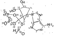 Nc1ncnc2c1ncn2C12CC(O)C(O)C1(C(O[PH2]=O)(O[PH2]=O)O[PH2]=O)C2